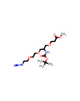 COC(=O)CCOCC(COCCOCCN=[N+]=[N-])NC(=O)OC(C)(C)C